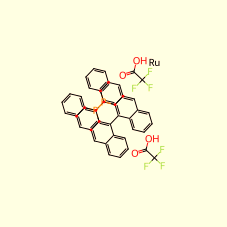 O=C(O)C(F)(F)F.O=C(O)C(F)(F)F.[Ru].c1ccc(P(c2ccccc2)c2ccc3ccccc3c2-c2c(P(c3ccccc3)c3ccccc3)ccc3ccccc23)cc1